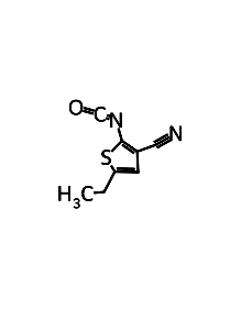 CCc1cc(C#N)c(N=C=O)s1